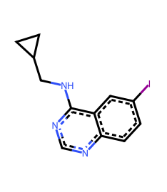 Ic1ccc2ncnc(NCC3CC3)c2c1